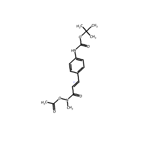 CC(=O)ON(C)C(=O)/C=C/c1ccc(NC(=O)OC(C)(C)C)cc1